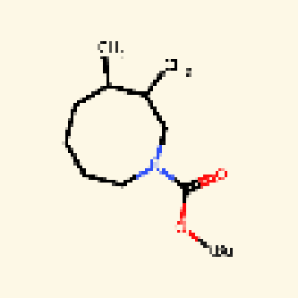 CC1CN(C(=O)OC(C)(C)C)CCCC[C@H]1C